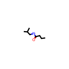 CCCC(=O)[N]CC(C)C